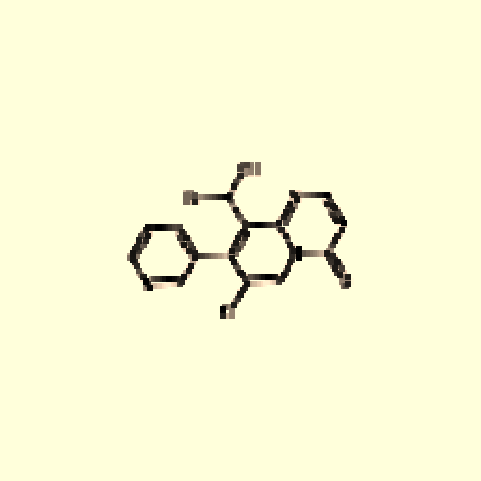 CCC(O)c1c(-c2cccnc2)c(Cl)cn2c(=O)ccnc12